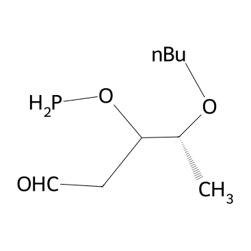 CCCCO[C@H](C)C(CC=O)OP